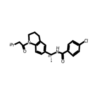 CC(C)CC(=O)N1CCCc2cc([C@@H](C)NC(=O)c3ccc(Cl)cc3)ccc21